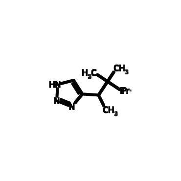 C[C](C)C(C)(C)C(C)c1c[nH]nn1